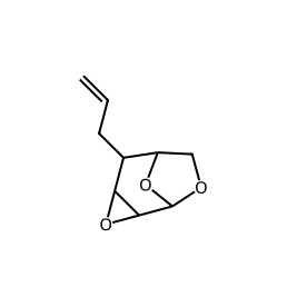 C=CCC1C2COC(O2)C2OC12